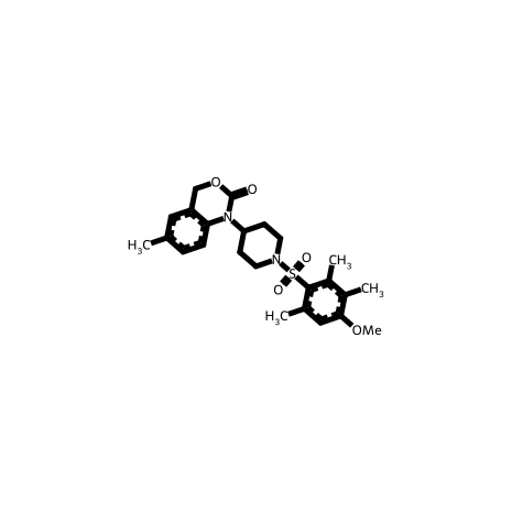 COc1cc(C)c(S(=O)(=O)N2CCC(N3C(=O)OCc4cc(C)ccc43)CC2)c(C)c1C